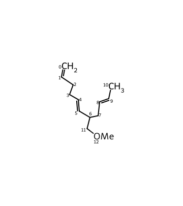 C=CCCC=CC(CC=CC)COC